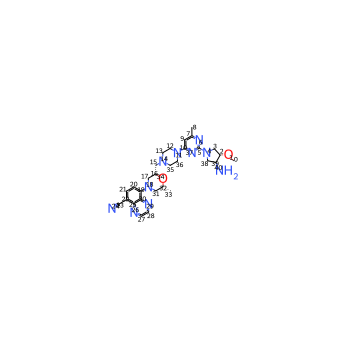 CO[C@H]1CN(c2nc(C)cc(N3CCN(C[C@H]4CN(c5ccc(C#N)c6nccnc56)C[C@@H](C)O4)CC3)n2)C[C@@H]1N